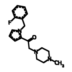 CN1CCN(CC(=O)c2cccn2Cc2ccccc2F)CC1